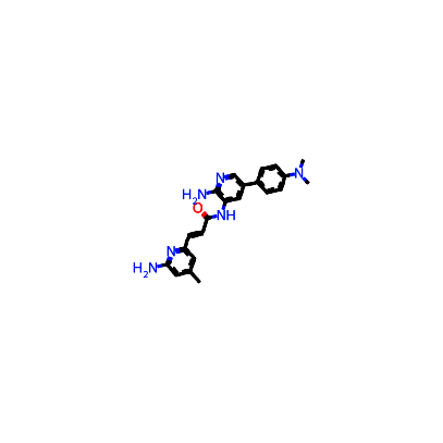 Cc1cc(N)nc(C=CC(=O)Nc2cc(-c3ccc(N(C)C)cc3)cnc2N)c1